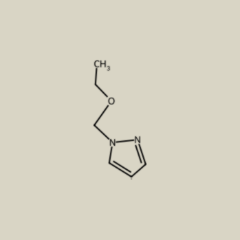 CCOCn1c[c]cn1